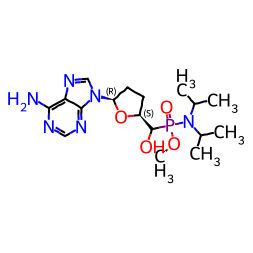 COP(=O)(C(O)[C@@H]1CC[C@H](n2cnc3c(N)ncnc32)O1)N(C(C)C)C(C)C